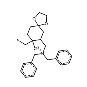 CC1(CF)CCC2(CC1CN(Cc1ccccc1)Cc1ccccc1)OCCO2